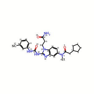 CCN(C(=O)CC1CCCC1)c1ccc2c(c1)nc(NC(=O)Nc1cccc(C#N)c1)n2CCC(N)=O